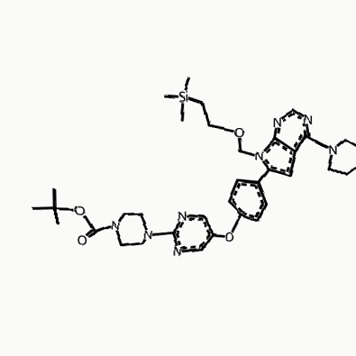 CC(C)(C)OC(=O)N1CCN(c2ncc(Oc3ccc(-c4cc5c(N6CCOCC6)ncnc5n4COCC[Si](C)(C)C)cc3)cn2)CC1